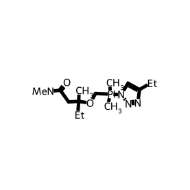 CCc1cn([PH](C)(C)COC(C)(CC)CC(=O)NC)nn1